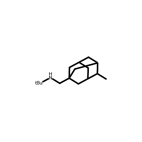 CC1C2CC3CC1CC(CNC(C)(C)C)(C3)C2